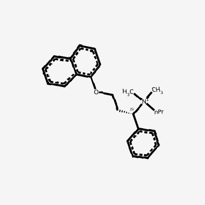 [CH2]CC[N+](C)(C)[C@@H](CCOc1cccc2ccccc12)c1ccccc1